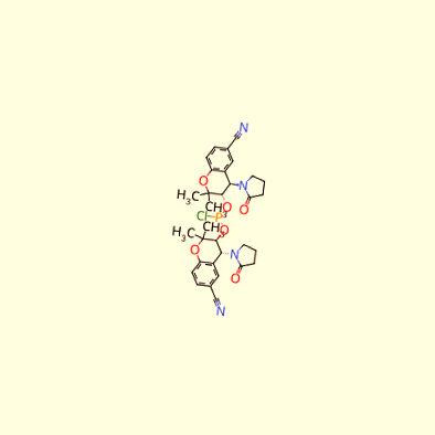 CC1(C)Oc2ccc(C#N)cc2[C@@H](N2CCCC2=O)[C@@H]1OP(Cl)O[C@H]1[C@H](N2CCCC2=O)c2cc(C#N)ccc2OC1(C)C